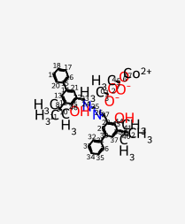 CC(=O)[O-].CC(=O)[O-].CC(C)(C)c1cc(-c2ccccc2)cc(C=NCN=Cc2cc(-c3ccccc3)cc(C(C)(C)C)c2O)c1O.[Co+2]